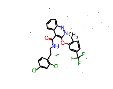 Cc1ccc(C(F)(F)F)cc1Oc1nnc2ccccc2c1C(=O)NC[C@H](F)c1ccc(Cl)cc1Cl